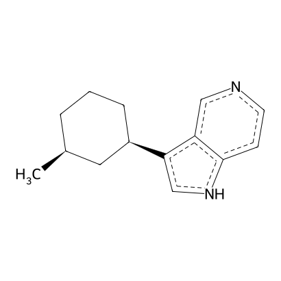 C[C@H]1CCC[C@@H](c2c[nH]c3ccncc23)C1